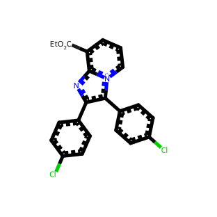 CCOC(=O)c1cccn2c(-c3ccc(Cl)cc3)c(-c3ccc(Cl)cc3)nc12